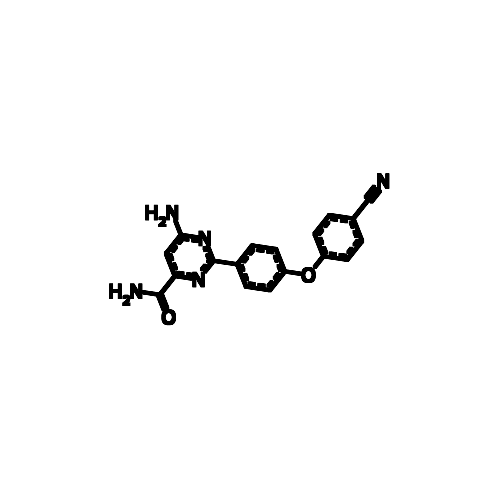 N#Cc1ccc(Oc2ccc(-c3nc(N)cc(C(N)=O)n3)cc2)cc1